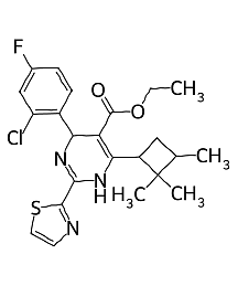 CCOC(=O)C1=C(C2CC(C)C2(C)C)NC(c2nccs2)=NC1c1ccc(F)cc1Cl